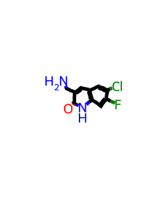 NCc1cc2cc(Cl)c(F)cc2[nH]c1=O